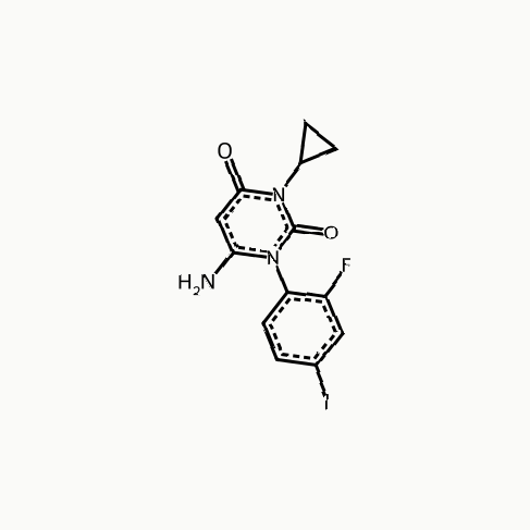 Nc1cc(=O)n(C2CC2)c(=O)n1-c1ccc(I)cc1F